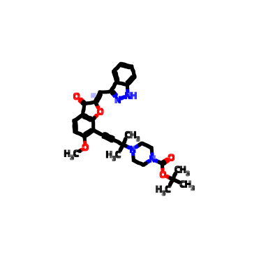 COc1ccc2c(c1C#CC(C)(C)N1CCN(C(=O)OC(C)(C)C)CC1)O/C(=C\c1n[nH]c3ccccc13)C2=O